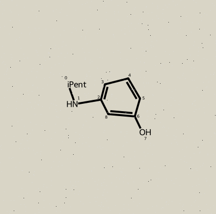 CCCC(C)Nc1cccc(O)c1